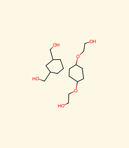 OCC1CCCC(CO)C1.OCCOC1CCC(OCCO)CC1